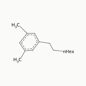 CCCCCCCCc1[c]c(C)cc(C)c1